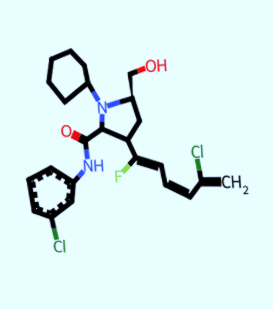 C=C(Cl)/C=C\C=C(/F)C1C[C@H](CO)N(C2CCCCC2)C1C(=O)Nc1cccc(Cl)c1